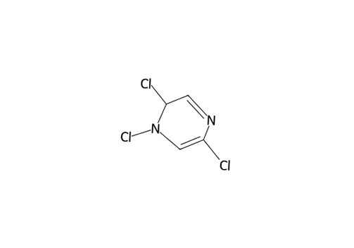 ClC1=CN(Cl)C(Cl)C=N1